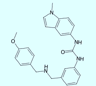 COc1ccc(CNCc2cccc(NC(=O)Nc3ccc4c(ccn4C)c3)c2)cc1